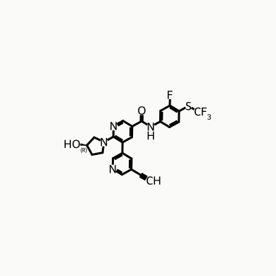 C#Cc1cncc(-c2cc(C(=O)Nc3ccc(SC(F)(F)F)c(F)c3)cnc2N2CC[C@@H](O)C2)c1